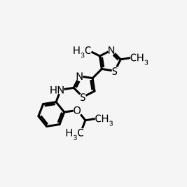 Cc1nc(C)c(-c2csc(Nc3ccccc3OC(C)C)n2)s1